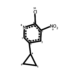 O=[N+]([O-])c1cc(C2CC2)cnc1Cl